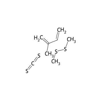 C=CC(=C)C.CSSC.S=C=S